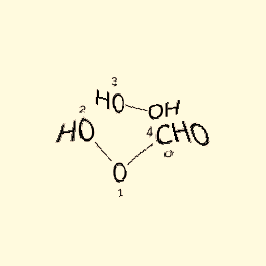 O=COO.OO